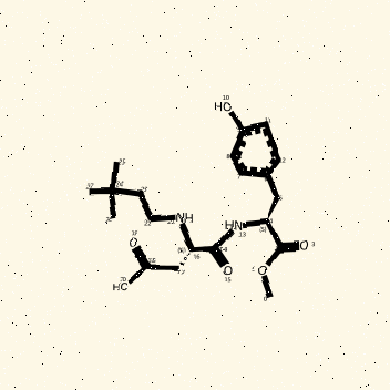 COC(=O)[C@H](Cc1ccc(O)cc1)NC(=O)[C@H](CC(=O)O)NCCC(C)(C)C